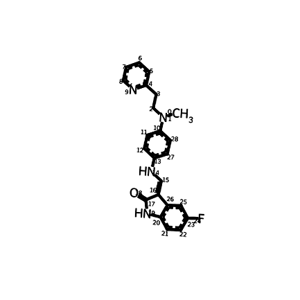 CN(CCc1ccccn1)c1ccc(NC=C2C(=O)Nc3ccc(F)cc32)cc1